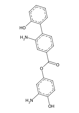 Nc1cc(OC(=O)c2ccc(-c3ccccc3O)c(N)c2)ccc1O